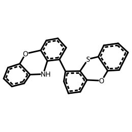 c1ccc2c(c1)Nc1c(cccc1-c1cccc3c1Sc1ccccc1O3)O2